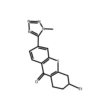 CCC1CCc2c(sc3cc(-c4nnnn4C)ccc3c2=O)C1